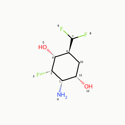 N[C@@H]1[C@H](F)[C@H](O)[C@@H](C(F)F)C[C@@H]1O